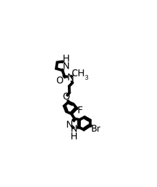 CN(CCCOc1ccc(-c2n[nH]c3cc(Br)ccc23)c(F)c1)C(=O)C1CCCN1